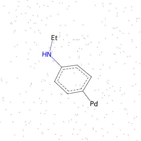 CCNc1cc[c]([Pd])cc1